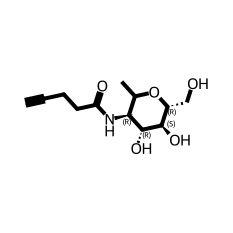 C#CCCC(=O)N[C@H]1C(C)O[C@H](CO)[C@@H](O)[C@@H]1O